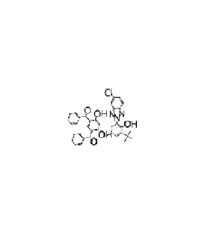 Cc1cc(-n2nc3ccc(Cl)cc3n2)c(O)c(C(C)(C)C)c1.O=C(c1ccccc1)c1cc(C(=O)c2ccccc2)c(O)cc1O